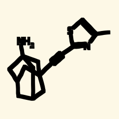 Cc1csc(C#CC23CC4CC(CC(N)(C4)C2)C3)n1